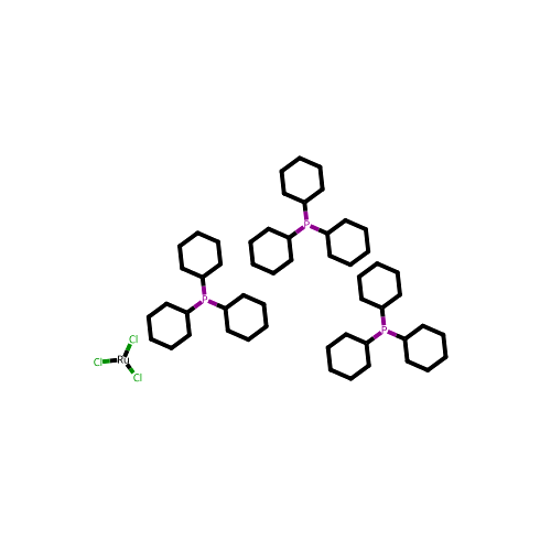 C1CCC(P(C2CCCCC2)C2CCCCC2)CC1.C1CCC(P(C2CCCCC2)C2CCCCC2)CC1.C1CCC(P(C2CCCCC2)C2CCCCC2)CC1.[Cl][Ru]([Cl])[Cl]